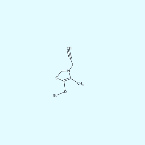 C#CCN1CSC(OCC)=C1C